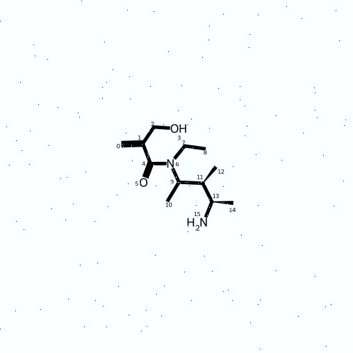 C=C(CO)C(=O)N(CC)C(C)[C@@H](C)[C@@H](C)N